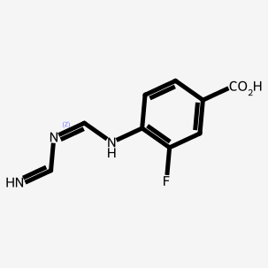 N=C/N=C\Nc1ccc(C(=O)O)cc1F